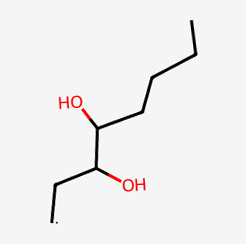 [CH2]CC(O)C(O)CCCC